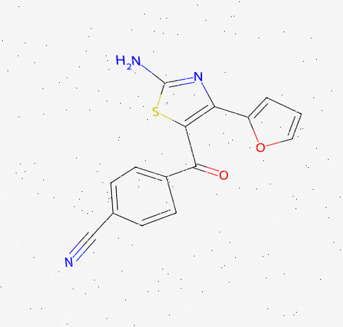 N#Cc1ccc(C(=O)c2sc(N)nc2-c2ccco2)cc1